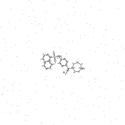 C=C(c1ccc(NS(=O)(=O)c2cccc3cccnc23)cc1)N1CCCNCC1